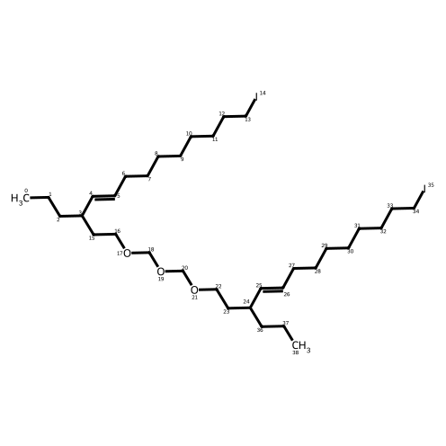 CCCC(C=CCCCCCCCCI)CCOCOCOCCC(C=CCCCCCCCCI)CCC